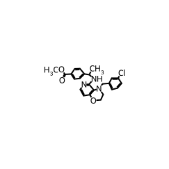 COC(=O)c1ccc(C(C)Nc2nccc3c2N(Cc2cccc(Cl)c2)CCO3)cc1